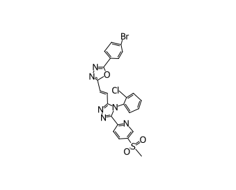 CS(=O)(=O)c1ccc(-c2nnc(/C=C/c3nnc(-c4ccc(Br)cc4)o3)n2-c2ccccc2Cl)nc1